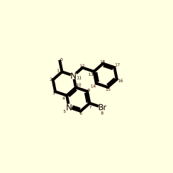 CC1CCc2ncc(Br)cc2N1Cc1ccccc1